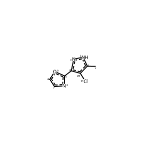 Cc1[nH]nc(-c2ncco2)c1Cl